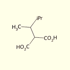 CC(C)C(C)C(C(=O)O)C(=O)O